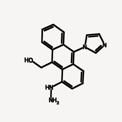 NNc1cccc2c(-n3ccnc3)c3ccccc3c(CO)c12